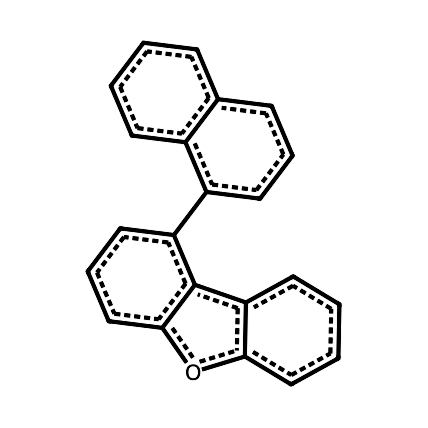 c1ccc2c(-c3cccc4oc5ccccc5c34)cccc2c1